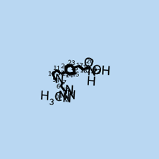 Cn1nnnc1CCN1CCCC1c1ccc(C=CC(=O)NO)cc1